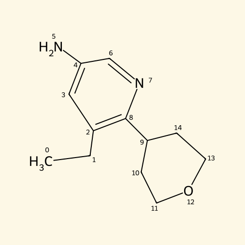 CCc1cc(N)cnc1C1CCOCC1